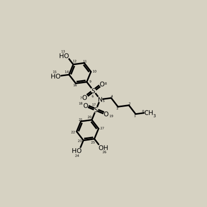 CCCCCN(S(=O)(=O)c1ccc(O)c(O)c1)S(=O)(=O)c1ccc(O)c(O)c1